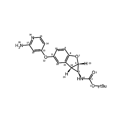 CC(C)(C)OC(=O)N[C@@H]1[C@H]2Oc3ccc(Oc4ccnc(N)c4)cc3[C@@H]12